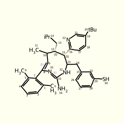 Cc1cccc(C)c1C1=C\C(C)[C@H](CC(C)C)[C@H](c2ccc(C(C)(C)C)cn2)C(Cc2cccc(S)c2)N\C(N)=N\1